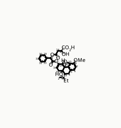 CCN(C)[C@@H]1Cc2ccc(OC)c3c2[C@@]2(C)[C@@H](O3)C(OC(=O)[C@@H](OC(=O)C[C@H](O)C(=O)O)c3ccccc3)=CC[C@@]12O